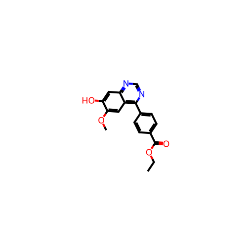 CCOC(=O)c1ccc(-c2ncnc3cc(O)c(OC)cc23)cc1